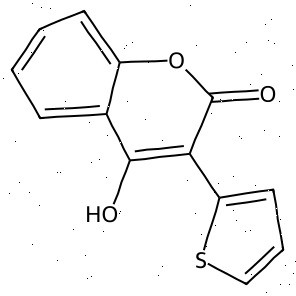 O=c1oc2ccccc2c(O)c1-c1cccs1